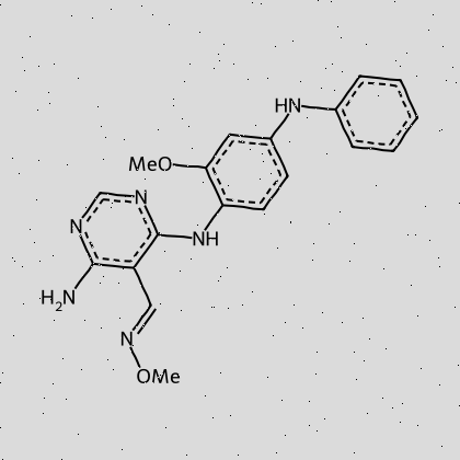 CO/N=C/c1c(N)ncnc1Nc1ccc(Nc2ccccc2)cc1OC